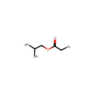 CCCC(CCC)COC(=O)CC(C)=O